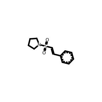 O=S(=O)(C=Cc1ccccc1)N1CCCC1